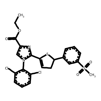 CCOC(=O)c1cn(-c2c(Cl)cccc2Cl)c(C2=CCC(c3cccc(S(C)(=O)=O)c3)S2)n1